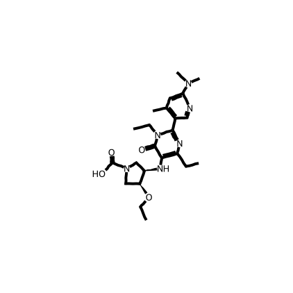 CCO[C@H]1CN(C(=O)O)C[C@H]1Nc1c(CC)nc(-c2cnc(N(C)C)cc2C)n(CC)c1=O